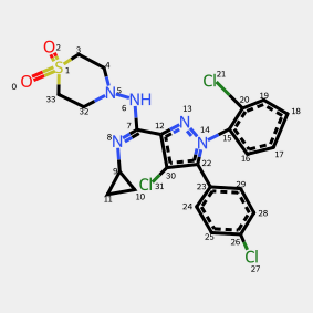 O=S1(=O)CCN(NC(=NC2CC2)c2nn(-c3ccccc3Cl)c(-c3ccc(Cl)cc3)c2Cl)CC1